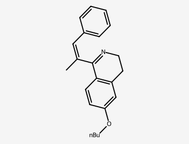 CCCCOc1ccc2c(c1)CCN=C2/C(C)=C\c1ccccc1